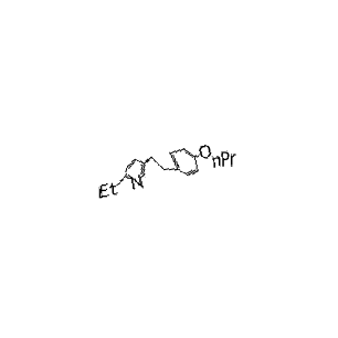 CCCOc1ccc(CCc2ccc(CC)nc2)cc1